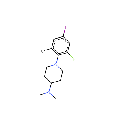 CN(C)C1CCN(c2c(F)cc(I)cc2C(F)(F)F)CC1